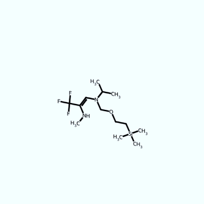 CN/C(=C\N(COCC[Si](C)(C)C)C(C)C)C(F)(F)F